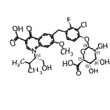 COc1cc2c(cc1Cc1ccc(O[C@@H]3O[C@H](C(=O)O)[C@@H](O)[C@@H](O)[C@@H]3O)c(Cl)c1F)c(=O)c(C(=O)O)cn2[C@H](CO)C(C)C